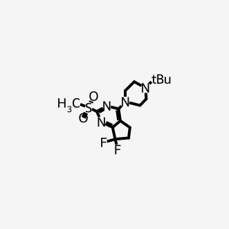 CC(C)(C)N1CCN(c2nc(S(C)(=O)=O)nc3c2CCC3(F)F)CC1